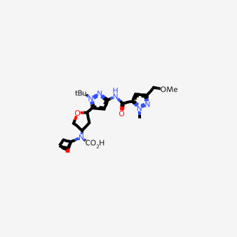 COCc1cc(C(=O)Nc2cc(C3CC(N(C(=O)O)C45CC(C4)C5)CO3)n(C(C)(C)C)n2)n(C)n1